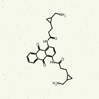 NCC1CC1CCC(=O)Nc1ccc(NC(=O)CCC2CC2CN)c2c1C(=O)c1ccccc1C2=O